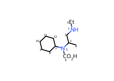 CCNCC(C)N(C(=O)O)C1CCCCC1